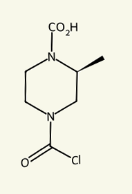 C[C@H]1CN(C(=O)Cl)CCN1C(=O)O